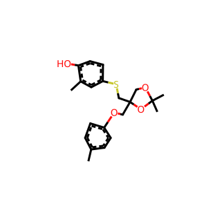 Cc1ccc(OCC2(CSc3ccc(O)c(C)c3)COC(C)(C)O2)cc1